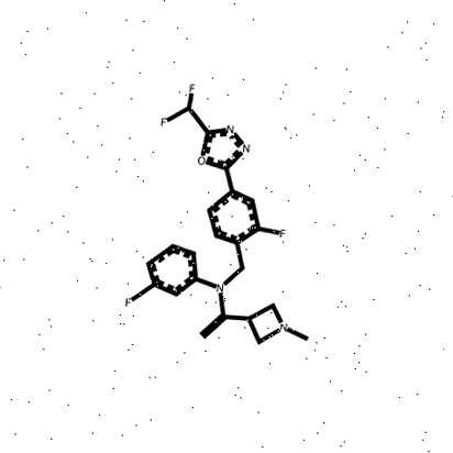 C=C(C1CN(C)C1)N(Cc1ccc(-c2nnc(C(F)F)o2)cc1F)c1cccc(F)c1